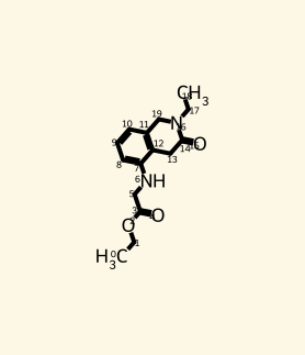 CCOC(=O)CNc1cccc2c1CC(=O)N(CC)C2